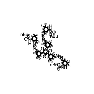 CCCCOC(=O)NC1CC(C)(C)CC(C)(CN=C=NCC2(C)CC(C3C(=O)N(C4CC(C)(C)CC(C)(CN=C=NCC5(C)CC(NC(=O)OCCCC)CC(C)(C)C5)C4)C(=O)N(C4CC(C)(C)CC(C)(CN=C=NCC5(C)CC(NC(=O)OCCCC)CC(C)(C)C5)C4)C3=O)CC(C)(C)C2)C1